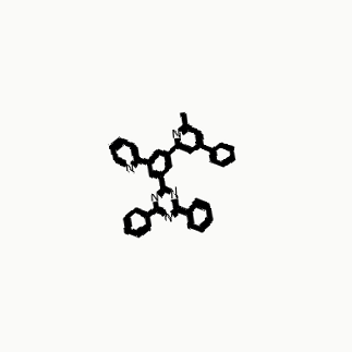 Cc1cc(-c2ccccc2)cc(-c2cc(-c3ccccn3)cc(-c3nc(-c4ccccc4)nc(-c4ccccc4)n3)c2)n1